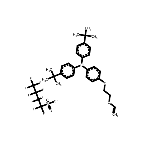 C=COCCOc1ccc([S+](c2ccc(C(C)(C)C)cc2)c2ccc(C(C)(C)C)cc2)cc1.O=S(=O)([O-])C(F)(F)C(F)(F)C(F)(F)C(F)(F)F